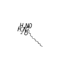 CCCCCCCCCCCCCC(C(N)=O)C(N)=O